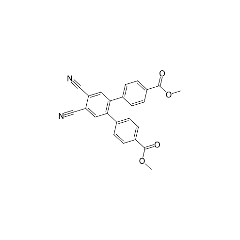 COC(=O)c1ccc(-c2cc(C#N)c(C#N)cc2-c2ccc(C(=O)OC)cc2)cc1